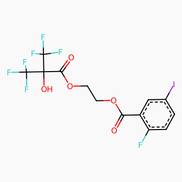 O=C(OCCOC(=O)C(O)(C(F)(F)F)C(F)(F)F)c1cc(I)ccc1F